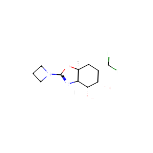 O[C@@H]1[C@H](O)[C@H]2N=C(N3CCC3)O[C@H]2C[C@@H]1C(F)F